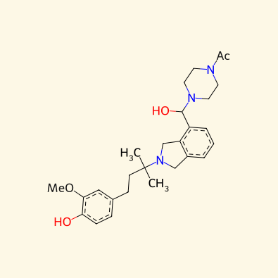 COc1cc(CCC(C)(C)N2Cc3cccc(C(O)N4CCN(C(C)=O)CC4)c3C2)ccc1O